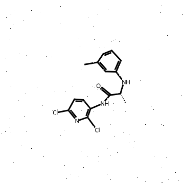 Cc1cccc(N[C@H](C)C(=O)Nc2ccc(Cl)nc2Cl)c1